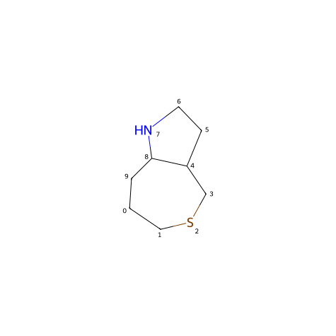 C1CSCC2CCNC2C1